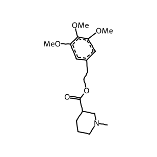 COc1cc(CCOC(=O)C2CCCN(C)C2)cc(OC)c1OC